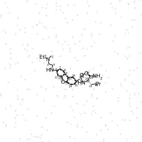 CCN(C)CCNc1ccc2c(c1)oc1ccc([S+]([O-])N[C@@H](CC(C)C)C(N)=O)cc12